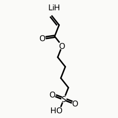 C=CC(=O)OCCCCS(=O)(=O)O.[LiH]